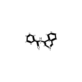 O=C(Nc1cncc2ccccc12)c1ccccc1